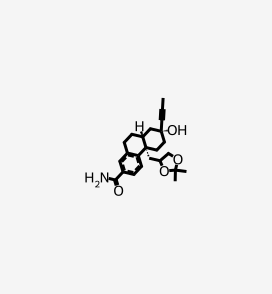 CC#C[C@@]1(O)CC[C@@]2(CC3COC(C)(C)O3)c3ccc(C(N)=O)cc3CC[C@@H]2C1